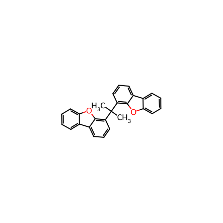 CC(C)(c1cccc2c1oc1ccccc12)c1cccc2c1oc1ccccc12